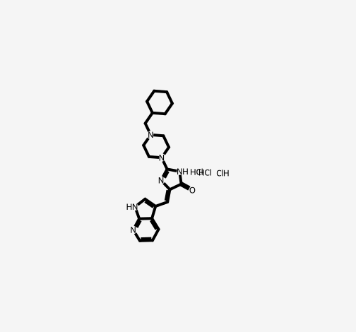 Cl.Cl.Cl.O=C1NC(N2CCN(CC3CCCCC3)CC2)=N/C1=C\c1c[nH]c2ncccc12